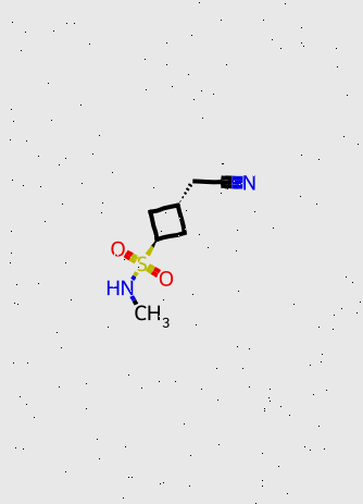 CNS(=O)(=O)[C@H]1C[C@H](CC#N)C1